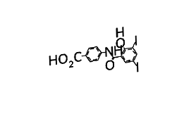 O=C(O)c1ccc(NC(=O)c2cc(I)cc(I)c2O)cc1